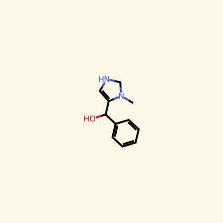 CN1CNC=C1C(O)c1ccccc1